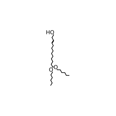 CCCCCCOC(CCCCCCCC/C=C/CCO)OCCCCCC